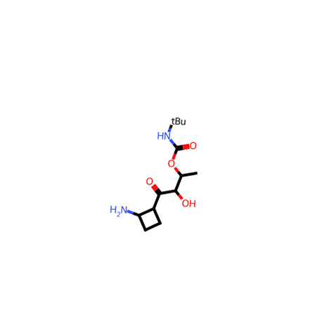 CC(OC(=O)NC(C)(C)C)C(O)C(=O)C1CCC1N